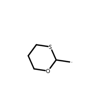 [CH2]C1OCCCS1